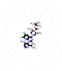 Cc1ccnc(C(C)C)c1-n1c(=O)nc(N2C[C@@H](C)N(C(=O)OC(C)(C)C)[C@@H](C)C2)c2cc(Cl)c(Cl)nc21